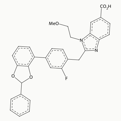 COCCn1c(Cc2ccc(-c3cccc4c3OC(c3ccccc3)O4)cc2F)nc2ccc(C(=O)O)cc21